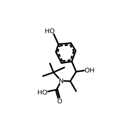 CC(C(O)c1ccc(O)cc1)N(C(=O)O)C(C)(C)C